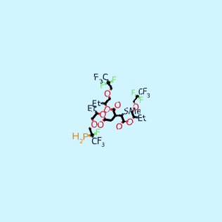 CCC(COCC(F)(P)C(F)(F)F)OC(=O)CC(C(=O)OC(CC)COCC(F)(F)C(F)(F)F)C(SC)C(=O)OC(CC)COCC(F)(F)C(F)(F)F